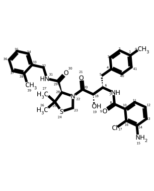 Cc1ccc(C[C@H](NC(=O)c2cccc(N)c2Cl)[C@H](O)C(=O)N2CSC(C)(C)[C@H]2C(=O)NCc2ccccc2C)cc1